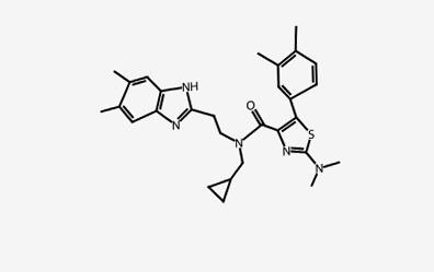 Cc1ccc(-c2sc(N(C)C)nc2C(=O)N(CCc2nc3cc(C)c(C)cc3[nH]2)CC2CC2)cc1C